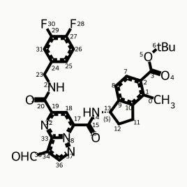 Cc1c(C(=O)OC(C)(C)C)ccc2c1CC[C@@H]2NC(=O)c1cc(C(=O)NCc2ccc(F)c(F)c2)nc2c(C=O)cnn12